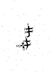 O=S(=O)(O)C(F)(F)C(F)(F)OCC(F)(F)C(F)(F)F